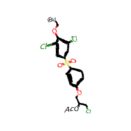 CCC(C)COc1c(Cl)cc(S(=O)(=O)c2ccc(OCC(CCl)OC(C)=O)cc2)cc1Cl